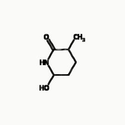 CC1CCC(O)NC1=O